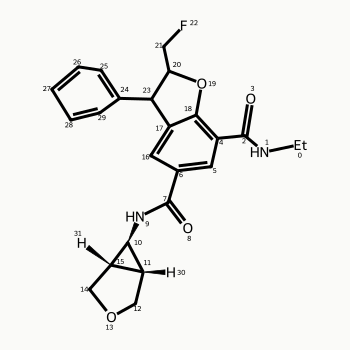 CCNC(=O)c1cc(C(=O)N[C@H]2[C@@H]3COC[C@@H]32)cc2c1OC(CF)C2c1ccccc1